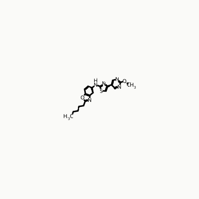 CCCCCc1nc2cc(Nc3nc(-c4cnc(OC)nc4)cs3)ccc2o1